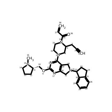 C#CCC1CN(c2nc(OC[C@@H]3CCCN3C)nc3c2CN(C2CCc4ccccc42)C3)CCN1C(=O)C=C